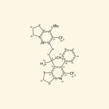 CC(C)(C)c1c2c(nc(CCC(C)(C)c3c4c(nc(C(F)(F)F)c3-c3ccccc3)CCC4)c1C(F)(F)F)CCC2